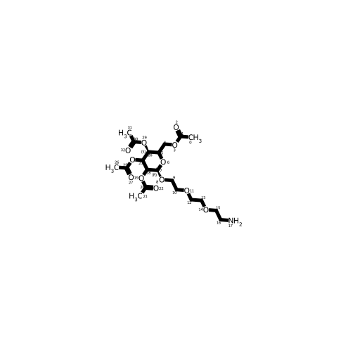 CC(=O)OCC1O[C@@H](OCCOCCOCCN)C(OC(C)=O)C(OC(C)=O)[C@H]1OC(C)=O